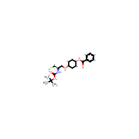 CC(C)(C)OC(=O)N[C@@H](CF)CO[C@H]1CC[C@H](OC(=O)c2ccccc2)CC1